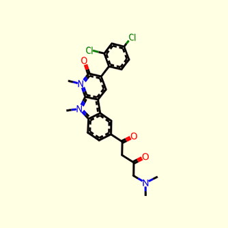 CN(C)CC(=O)CC(=O)c1ccc2c(c1)c1cc(-c3ccc(Cl)cc3Cl)c(=O)n(C)c1n2C